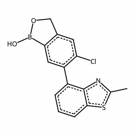 Cc1nc2c(-c3cc4c(cc3Cl)COB4O)cccc2s1